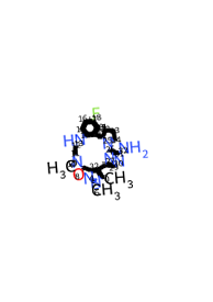 Cc1c2c(nn1C)C(=O)N(C)CCNc1ccc(F)cc1[C@H]1CCCN1c1nc-2cnc1N